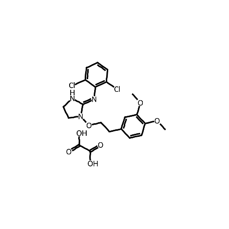 COc1ccc(CCON2CCN/C2=N\c2c(Cl)cccc2Cl)cc1OC.O=C(O)C(=O)O